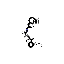 Cc1c(CN(C)C(=O)/C=C/c2cnc3c(c2)CCCC(=O)N3)oc2cccc(N)c12